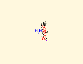 CCC(=O)O[C@H](CC[C@H](N)[C@H](C[C@@H](CC)O[Si](C)(C)C(C)(C)C)OC)[C@H](C)C(OC)[C@H](C)/C=C/I